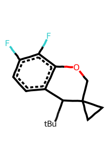 CC(C)(C)C1c2ccc(F)c(F)c2OCC12CC2